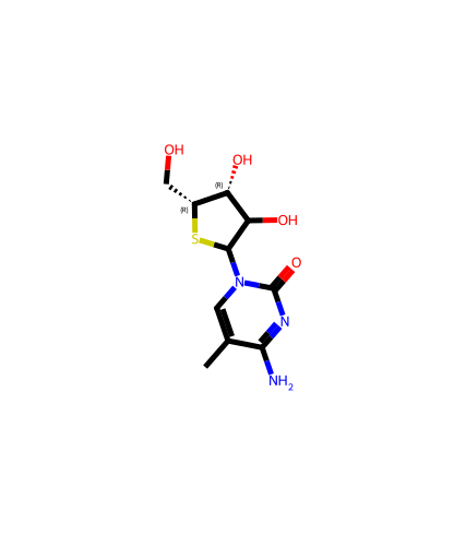 Cc1cn(C2S[C@H](CO)[C@H](O)C2O)c(=O)nc1N